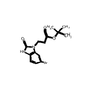 CC(C)(C)OC(=O)CCn1c(=O)[nH]c2ccc(Br)cc21